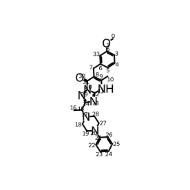 COc1cccc(Cc2c(C)[nH]c3nc(C(C)N4CCN(c5ccccc5)CC4)nn3c2=O)c1